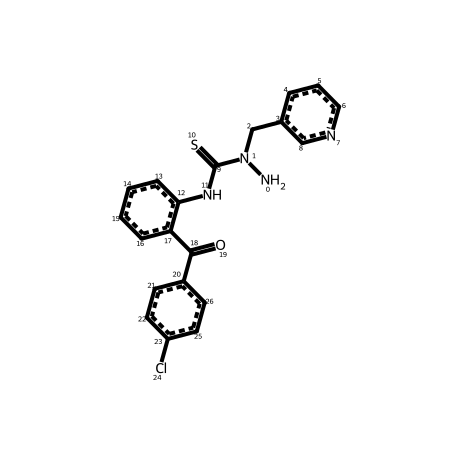 NN(Cc1cccnc1)C(=S)Nc1ccccc1C(=O)c1ccc(Cl)cc1